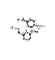 CC=Cc1ccccc1.COc1ccc(OC)c(OC)c1